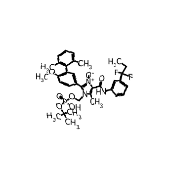 CCC(F)(F)c1cccc(NC(=O)c2c(C)n(COP(=O)(O)OC(C)(C)C)c(-c3ccc(OC)c(-c4c(C)cccc4C)c3)[n+]2[O-])c1